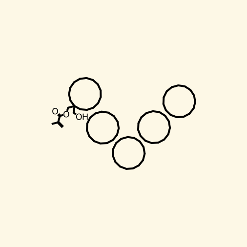 C1CCCCCCCCCCCCCC1.C1CCCCCCCCCCCCCC1.C1CCCCCCCCCCCCCC1.C1CCCCCCCCCCCCCC1.C=C(C)C(=O)OCC1(CO)CCCCCCCCCCCCCC1